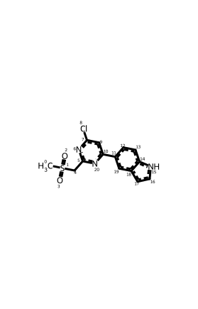 CS(=O)(=O)Cc1nc(Cl)cc(-c2ccc3[nH]ccc3c2)n1